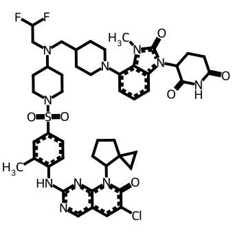 Cc1cc(S(=O)(=O)N2CCC(N(CC(F)F)CC3CCN(c4cccc5c4n(C)c(=O)n5C4CCC(=O)NC4=O)CC3)CC2)ccc1Nc1ncc2cc(Cl)c(=O)n(C3CCCC34CC4)c2n1